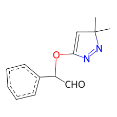 CC1(C)C=C(OC(C=O)c2ccccc2)N=N1